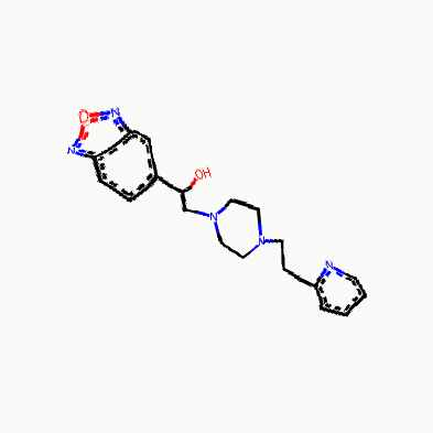 OC(CN1CCN(CCc2ccccn2)CC1)c1ccc2nonc2c1